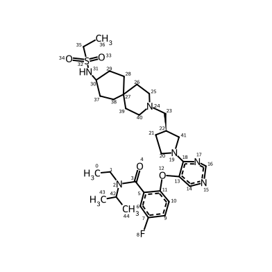 CCN(C(=O)c1cc(F)ccc1Oc1cncnc1N1CC[C@@H](CN2CCC3(CCC(NS(=O)(=O)CC)CC3)CC2)C1)C(C)C